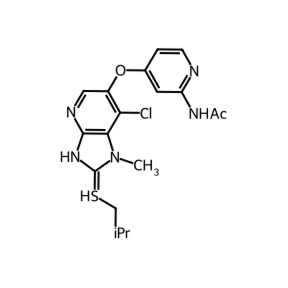 CC(=O)Nc1cc(Oc2cnc3[nH]/c(=[SH]/CC(C)C)n(C)c3c2Cl)ccn1